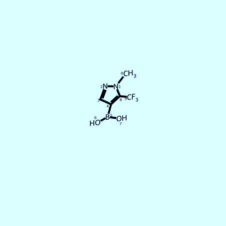 Cn1ncc(B(O)O)c1C(F)(F)F